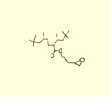 CC(CCC(C(=O)OCCCC1CO1)C(C)CC(C)(C)C)CC(C)(C)C